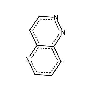 [c]1ccnc2ccnnc12